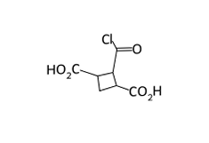 O=C(O)C1CC(C(=O)O)C1C(=O)Cl